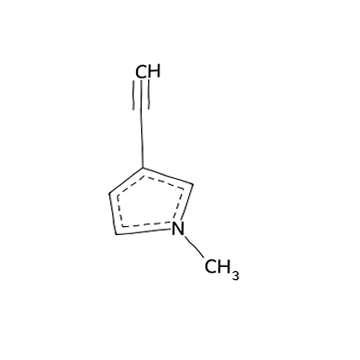 C#Cc1ccn(C)c1